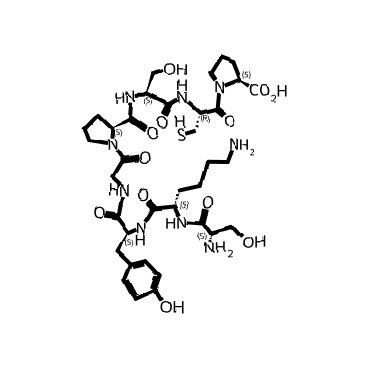 NCCCC[C@H](NC(=O)[C@@H](N)CO)C(=O)N[C@@H](Cc1ccc(O)cc1)C(=O)NCC(=O)N1CCC[C@H]1C(=O)N[C@@H](CO)C(=O)N[C@@H](CS)C(=O)N1CCC[C@H]1C(=O)O